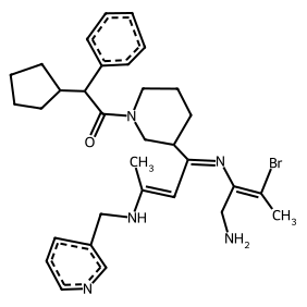 C/C(Br)=C(CN)/N=C(\C=C(/C)NCc1cccnc1)C1CCCN(C(=O)C(c2ccccc2)C2CCCC2)C1